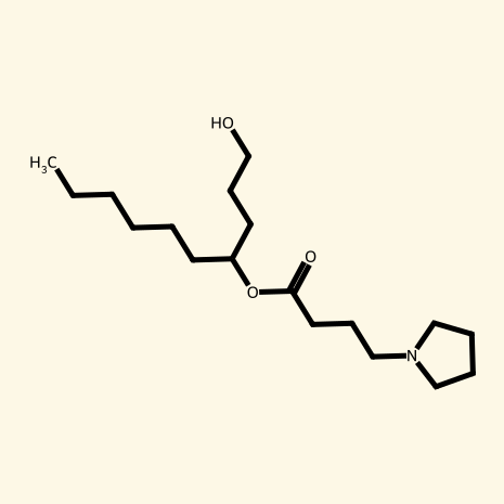 CCCCCCC(CCCO)OC(=O)CCCN1CCCC1